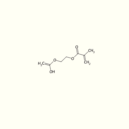 C=C(O)OCCOC(=O)C(=C)C